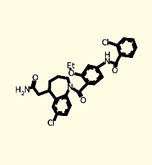 CCOc1cc(NC(=O)c2ccccc2Cl)ccc1C(=O)N1CCCC(CC(N)=O)c2cc(Cl)ccc21